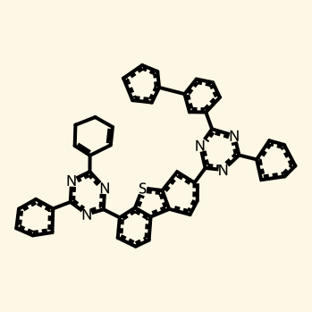 C1=CC(c2nc(-c3ccccc3)nc(-c3cccc4c3sc3cc(-c5nc(-c6ccccc6)nc(-c6cccc(-c7ccccc7)c6)n5)ccc34)n2)=CCC1